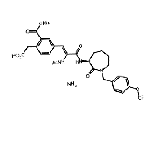 COC(=O)c1cc(/C=C(\NC(C)=O)C(=O)N[C@H]2CCCCN(Cc3ccc(OC(F)(F)F)cc3)C2=O)ccc1CC(=O)O.N